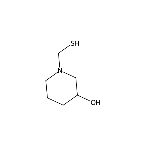 OC1CCCN(CS)C1